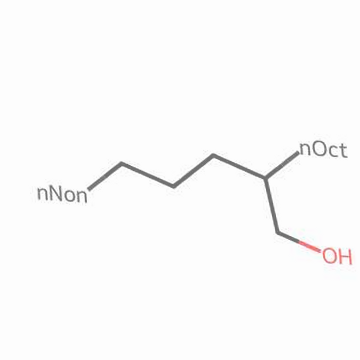 CCCCCCCCCCCCC(CO)CCCCCCCC